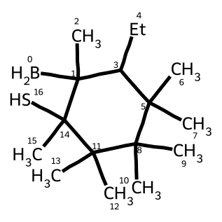 BC1(C)C(CC)C(C)(C)C(C)(C)C(C)(C)C1(C)S